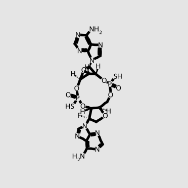 C[C@@H]1[C@@H]2O[C@@H](n3cnc4c(N)ncnc43)[C@@H]1OP(=O)(S)OC[C@H]1OC[C@@](F)(n3cnc4c(N)ncnc43)[C@@H]1OP(=O)(S)O2